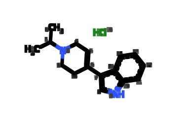 CC(C)N1CC=C(c2c[nH]c3ccccc23)CC1.Cl